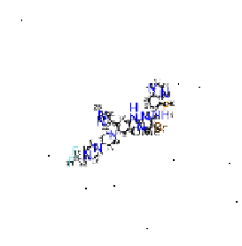 COc1cc(N2CCC(N3CCN(CC(F)F)CC3)CC2)c(-c2cnn(C)c2)cc1Nc1ncc(Br)c(Nc2ccc3nccnc3c2P(C)C)n1